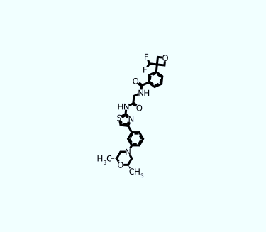 C[C@@H]1CN(c2cccc(-c3csc(NC(=O)CNC(=O)c4cccc(C5(C(F)F)COC5)c4)n3)c2)C[C@H](C)O1